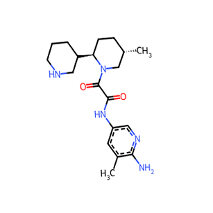 Cc1cc(NC(=O)C(=O)N2C[C@@H](C)CC[C@@H]2C2CCCNC2)cnc1N